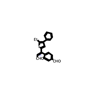 CCc1sc(/C(=C/C=O)c2ccc(C=O)cc2)cc1-c1ccccc1